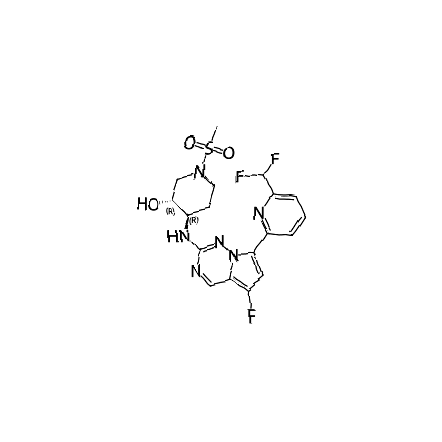 CS(=O)(=O)N1CC[C@@H](Nc2ncc3c(F)cc(-c4cccc(C(F)F)n4)n3n2)[C@H](O)C1